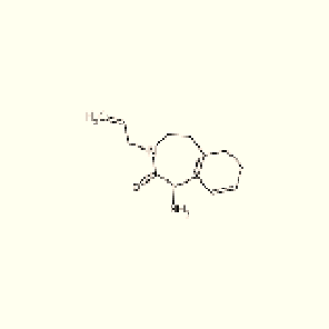 C=CCN1CCC2=C(C=CCC2)C(N)C1=O